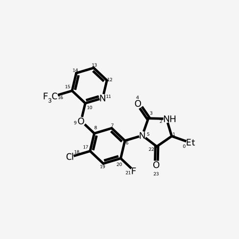 CCC1NC(=O)N(c2cc(Oc3ncccc3C(F)(F)F)c(Cl)cc2F)C1=O